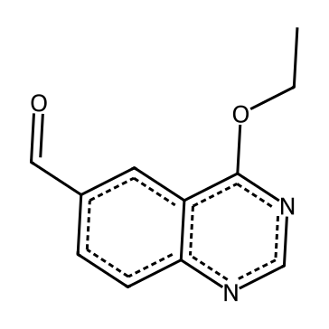 CCOc1ncnc2ccc(C=O)cc12